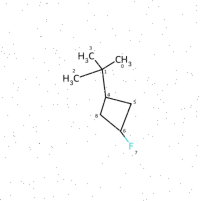 CC(C)(C)C1CC(F)C1